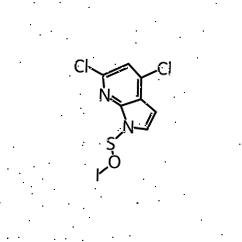 Clc1cc(Cl)c2ccn(SOI)c2n1